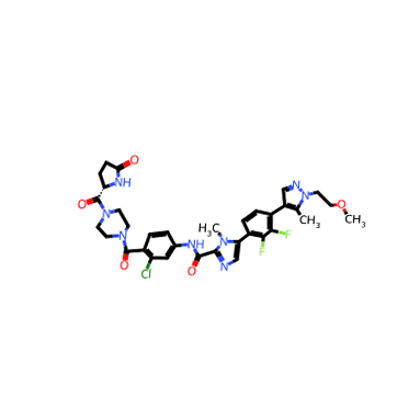 COCCn1ncc(-c2ccc(-c3cnc(C(=O)Nc4ccc(C(=O)N5CCN(C(=O)[C@@H]6CCC(=O)N6)CC5)c(Cl)c4)n3C)c(F)c2F)c1C